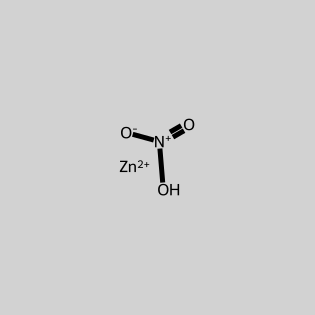 O=[N+]([O-])O.[Zn+2]